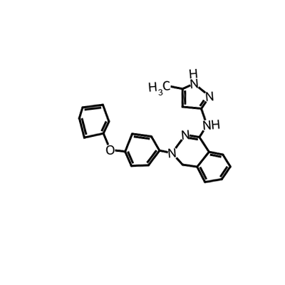 Cc1cc(NC2=NN(c3ccc(Oc4ccccc4)cc3)Cc3ccccc32)n[nH]1